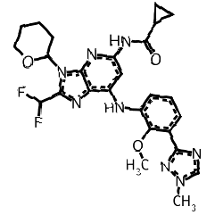 COc1c(Nc2cc(NC(=O)C3CC3)nc3c2nc(C(F)F)n3C2CCCCO2)cccc1-c1ncn(C)n1